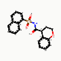 O=C(NS(=O)(=O)c1cccc2ccccc12)C1CCOc2ccccc21